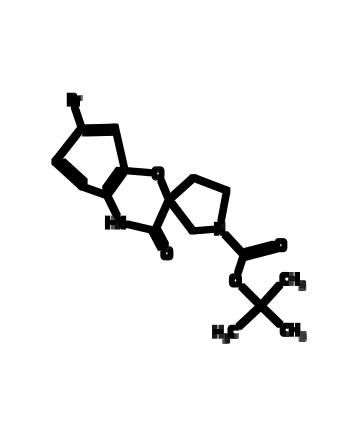 CC(C)(C)OC(=O)N1CCC2(C1)Oc1cc(Br)ccc1NC2=O